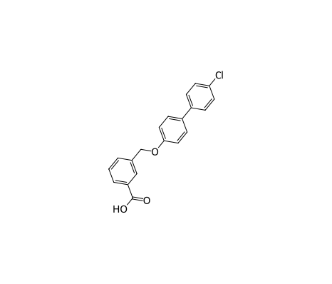 O=C(O)c1cccc(COc2ccc(-c3ccc(Cl)cc3)cc2)c1